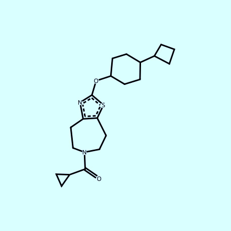 O=C(C1CC1)N1CCc2nc(OC3CCC(C4CCC4)CC3)sc2CC1